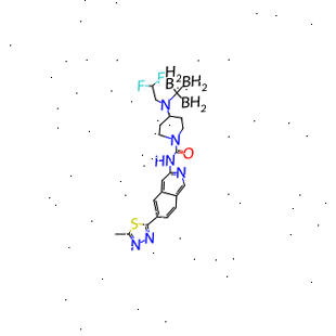 BC(B)(B)N(CC(F)F)C1CCN(C(=O)Nc2cc3cc(-c4nnc(C)s4)ccc3cn2)CC1